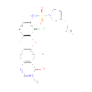 COC1CCN(S(=O)(=O)Nc2ccc(F)c(Oc3ccc4ncn(C)c(=O)c4c3C)c2Cl)C1